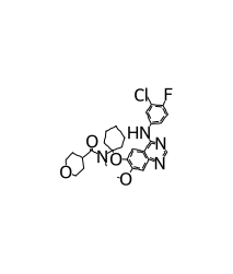 COc1cc2ncnc(Nc3ccc(F)c(Cl)c3)c2cc1OC1(N(C)C(=O)C2CCOCC2)CCCCC1